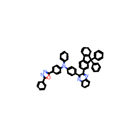 C1=CC2=C(CC1)C(c1ccccc1)(c1ccccc1)c1cc(-c3nc4ccccc4nc3-c3ccc(N(c4ccccc4)c4ccc(-c5nnc(-c6ccccc6)o5)cc4)cc3)ccc12